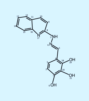 Oc1ccc(C=NNc2ccc3ccccc3n2)c(O)c1O